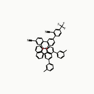 Cc1cccc(-c2ccc3c(c2)c2ccccc2n3-c2ccc(-c3ccc(C(F)(F)F)cc3C#N)cc2-c2ccc(C#N)cc2-n2c3ccccc3c3cc(-c4cccc(C)c4)ccc32)c1